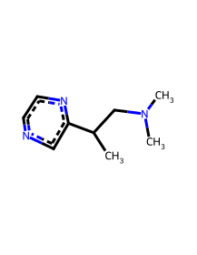 CC(CN(C)C)c1cnccn1